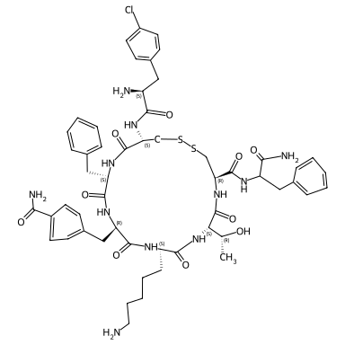 C[C@@H](O)[C@@H]1NC(=O)[C@H](CCCCCN)NC(=O)[C@@H](Cc2ccc(C(N)=O)cc2)NC(=O)[C@H](Cc2ccccc2)NC(=O)[C@H](NC(=O)[C@@H](N)Cc2ccc(Cl)cc2)CSSC[C@@H](C(=O)NC(Cc2ccccc2)C(N)=O)NC1=O